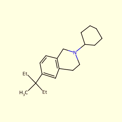 CCC(C)(CC)c1ccc2c(c1)CCN(C1CCCCC1)C2